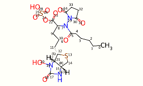 CCCCCC(=O)N(C(CCC[C@@H]1SC[C@@H]2NC(=O)N(O)[C@@H]21)C(=O)OS(=O)(=O)O)N1C(=O)CCC1=O